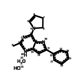 Cc1nc(N2C=CCC2)c2nc(-c3ccccc3)cc-2[nH]1.Cl.O